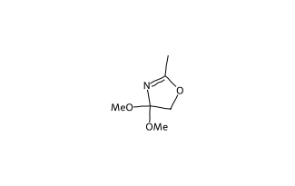 COC1(OC)COC(C)=N1